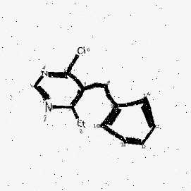 CCc1ncnc(Cl)c1Cc1ccccc1